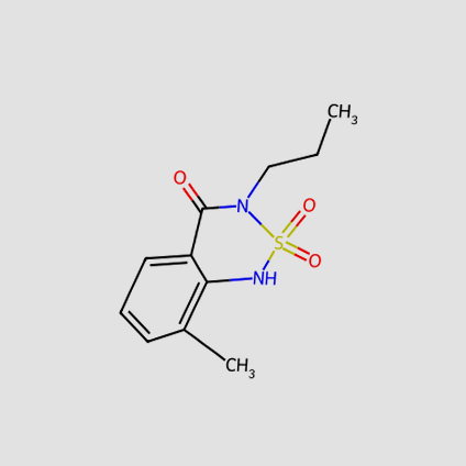 CCCN1C(=O)c2cccc(C)c2NS1(=O)=O